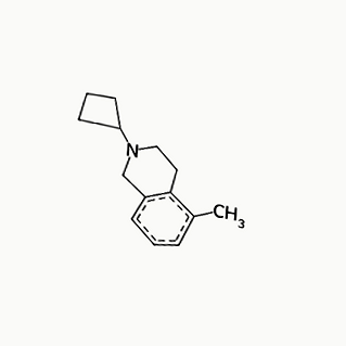 Cc1cccc2c1CCN(C1CCC1)C2